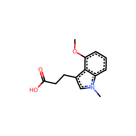 COc1cccc2c1c(CCC(=O)O)cn2C